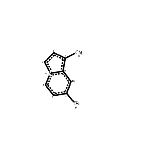 CC(C)c1ccn2ccc(C#N)c2c1